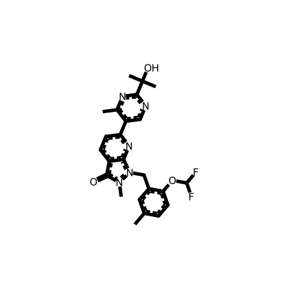 Cc1ccc(OC(F)F)c(Cn2c3nc(-c4cnc(C(C)(C)O)nc4C)ccc3c(=O)n2C)c1